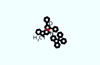 CC1(I)C2=C(C=CCC2)c2ccc(N(c3ccc4c(c3)C(c3ccccc3)(c3ccccc3)c3ccccc3-4)c3ccccc3-c3cccc4c3oc3ccccc34)cc21